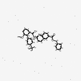 COc1cccc(C(=O)Nc2ccc3cc(C(=O)OCc4ccccc4)ccc3n2)c1-c1ccc(C(C)(C)C)cc1